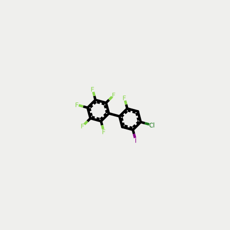 Fc1cc(Cl)c(I)cc1-c1c(F)c(F)c(F)c(F)c1F